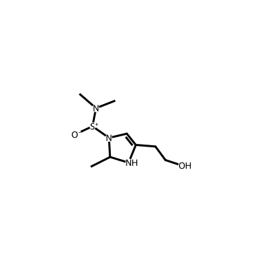 CC1NC(CCO)=CN1[S+]([O-])N(C)C